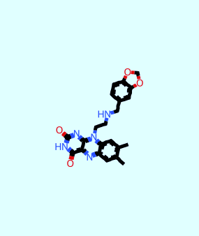 Cc1cc2nc3c(=O)[nH]c(=O)nc-3n(CCNCc3ccc4c(c3)OCO4)c2cc1C